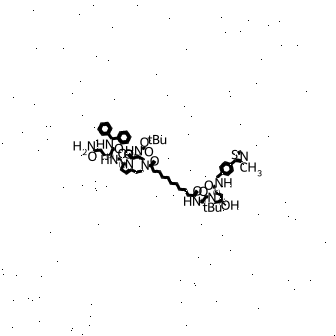 Cc1ncsc1-c1ccc(CNC(=O)[C@@H]2C[C@@H](O)CN2C(=O)[C@@H](NC(=O)CCCCCCCCCC(=O)N2CCC3=CC[C@@H](C(=O)N[C@@H](CCC(N)=O)C(=O)NC(c4ccccc4)c4ccccc4)N3C(=O)[C@@H](NC(=O)OC(C)(C)C)C2)C(C)(C)C)cc1